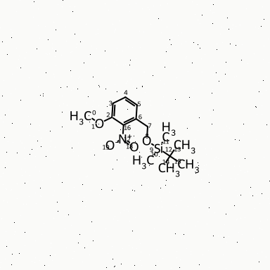 COc1cccc(CO[Si](C)(C)C(C)(C)C)c1[N+](=O)[O-]